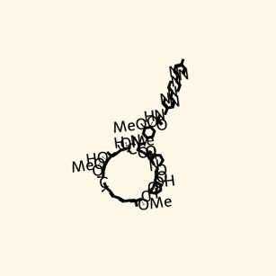 CO[C@H]1C[C@@H]2CC[C@@H](C)[C@@](O)(O2)C(=O)C(=O)N2CCCC[C@H]2C(=O)O[C@H]([C@H](N)C[C@@H]2CC[C@@H](OC(=O)NCc3cnc(N4CCN(c5ncc(C)cn5)CC4)nc3)[C@H](OC)C2)C[C@@H](OC)[C@H](C)/C=C(\C)[C@@H](O)[C@@H](OC)C(=O)[C@H](C)C[C@H](C)/C=C/C=C/C=C/1C